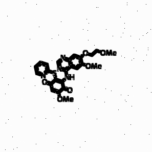 COCCOc1cc2ncnc(NC3=C(Sc4ccccn4)C(=O)C=C(OC)C3=O)c2cc1OC